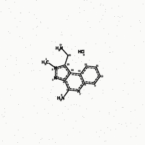 Cl.Cn1nc2c(N)nc3ccccc3c2c1CN